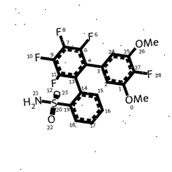 COc1cc(-c2c(F)c(F)c(F)c(F)c2-c2ccccc2S(N)(=O)=O)cc(OC)c1F